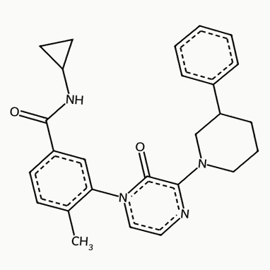 Cc1ccc(C(=O)NC2CC2)cc1-n1ccnc(N2CCCC(c3ccccc3)C2)c1=O